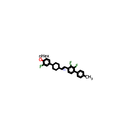 CCCCCCOc1ccc(C2CCC(/C=C/c3ccc(-c4ccc(C)cc4)c(F)c3F)CC2)cc1F